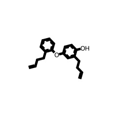 C=CCCc1cc(Oc2ccccc2CCC=C)ccc1O